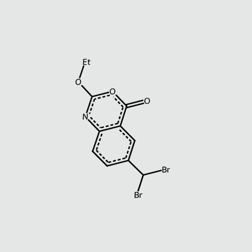 CCOc1nc2ccc(C(Br)Br)cc2c(=O)o1